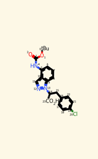 CC(C)(C)OC(=O)Nc1cccc2c1cnn2C(Cc1ccc(Cl)cc1)C(=O)O